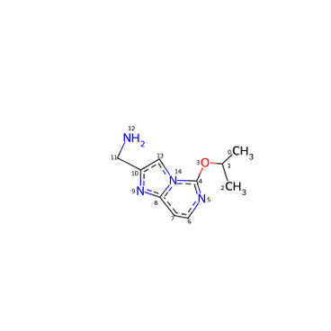 CC(C)Oc1nccc2nc(CN)cn12